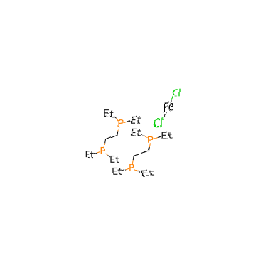 CCP(CC)CCP(CC)CC.CCP(CC)CCP(CC)CC.[Cl][Fe][Cl]